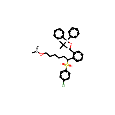 C[SiH](C)OCCCCCC(c1ccccc1CO[Si](c1ccccc1)(c1ccccc1)C(C)(C)C)S(=O)(=O)c1ccc(Cl)cc1